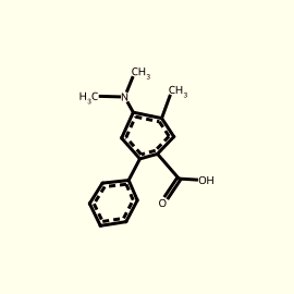 Cc1cc(C(=O)O)c(-c2ccccc2)cc1N(C)C